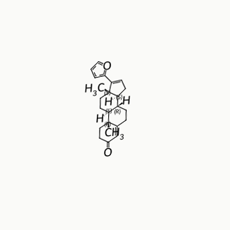 C[C@]12CCC(=O)C=C1CC[C@@H]1[C@@H]2CC[C@]2(C)C(c3ccco3)=CC[C@@H]12